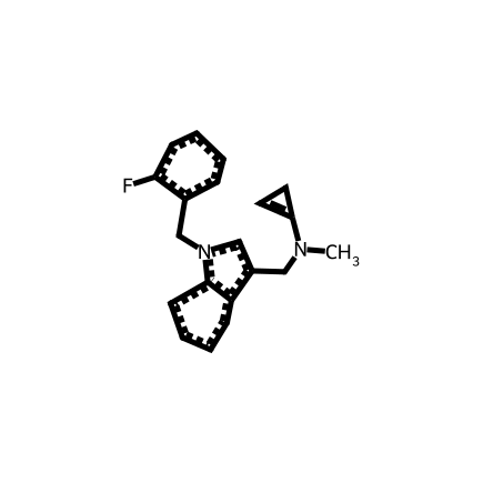 CN(Cc1cn(Cc2ccccc2F)c2ccccc12)C1=CC1